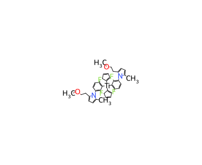 COCCc1ccc(C)n1-c1ccc(F)[c]([Ti]([C]2=CC=CC2)([C]2=CC=CC2)[c]2c(F)ccc(-n3c(C)ccc3CCOC)c2F)c1F